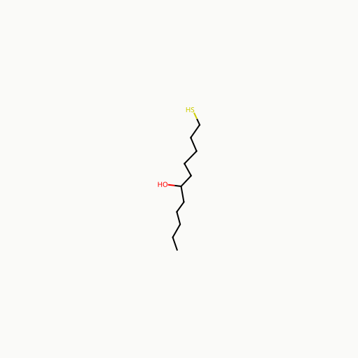 CCCCCC(O)CCCCCS